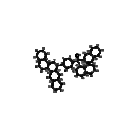 O=P(c1ccc(-c2cc3c4ccccc4ccc3c3cc4ccccc4cc23)cc1)(c1ccc2ccccc2c1)c1cccc2ccccc12